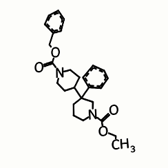 CCOC(=O)N1CCCC(c2ccccc2)(C2CCN(C(=O)OCc3ccccc3)CC2)C1